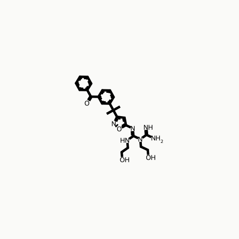 CC(C)(c1cccc(C(=O)c2ccccc2)c1)c1cc(N=C(NCCO)N(CCO)C(=N)N)on1